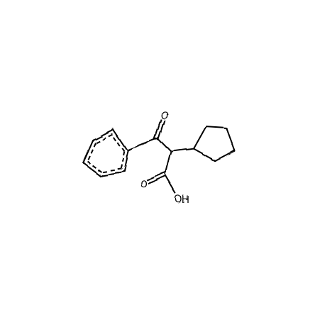 O=C(O)C(C(=O)c1ccccc1)C1CCCC1